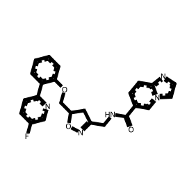 O=C(NCC1=NOC(COc2ccccc2-c2ccc(F)cn2)C1)c1ccc2nccn2c1